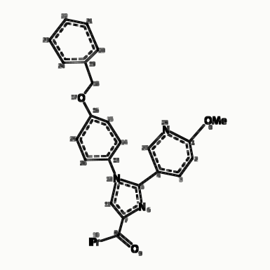 COc1ccc(-c2nc(C(=O)C(C)C)cn2-c2ccc(OCc3ccccc3)cc2)cn1